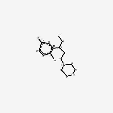 CCC(CCN1CCOCC1)c1cc(C)ccc1C